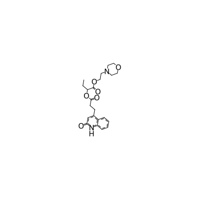 CCC(OC(=O)CCc1cc(=O)[nH]c2ccccc12)C(=O)OCCN1CCOCC1